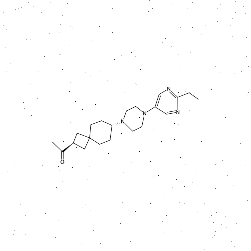 CCc1ncc(N2CCN([C@H]3CCC4(CC3)C[C@H](C(C)=O)C4)CC2)cn1